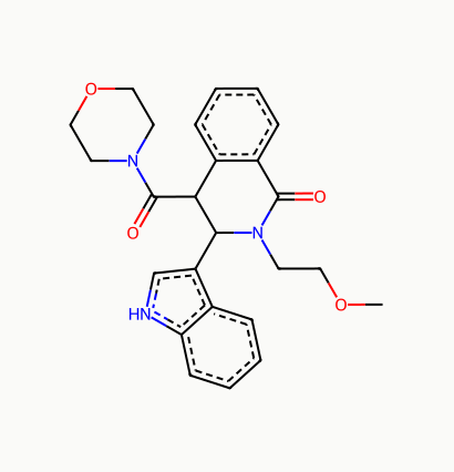 COCCN1C(=O)c2ccccc2C(C(=O)N2CCOCC2)C1c1c[nH]c2ccccc12